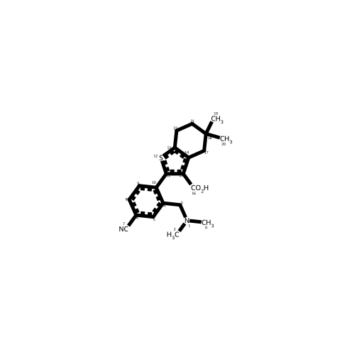 CN(C)Cc1cc(C#N)ccc1-c1sc2c(c1C(=O)O)CC(C)(C)CC2